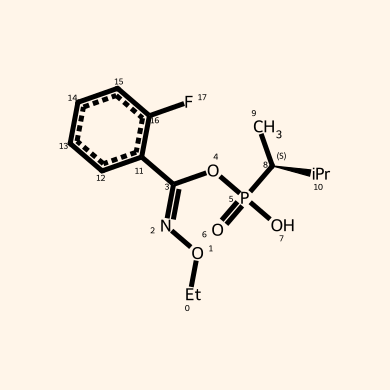 CCON=C(OP(=O)(O)[C@@H](C)C(C)C)c1ccccc1F